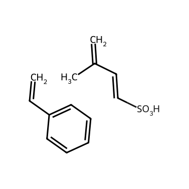 C=C(C)C=CS(=O)(=O)O.C=Cc1ccccc1